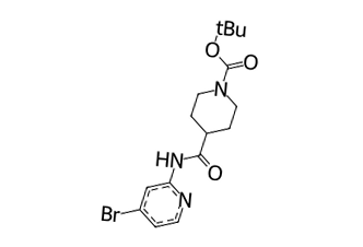 CC(C)(C)OC(=O)N1CCC(C(=O)Nc2cc(Br)ccn2)CC1